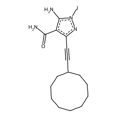 NC(=O)c1c(C#CC2CCCCCCCCC2)nn(I)c1N